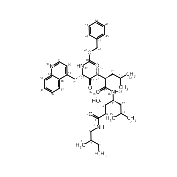 CCC(C)CNC(=O)C[C@H](O)[C@H](CC(C)C)NC(=O)[C@H](CC(C)C)NC(=O)[C@H](Cc1ccnc2ccccc12)NC(=O)OCc1ccccc1